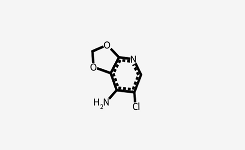 Nc1c(Cl)cnc2c1OCO2